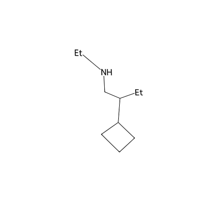 CCNCC(CC)C1CCC1